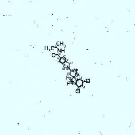 CC(C)NC(=O)c1cc2c(s1)CN(C1=NOC(c3cc(Cl)cc(Cl)c3)(C(F)(F)F)C1)C2